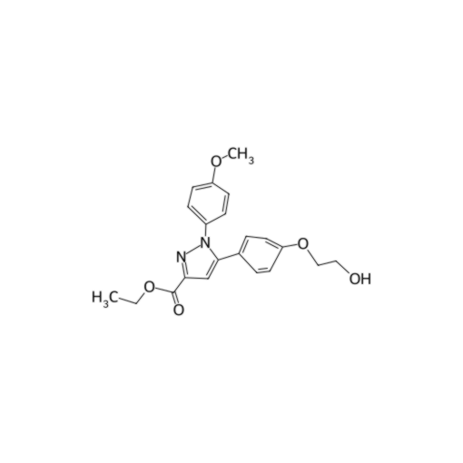 CCOC(=O)c1cc(-c2ccc(OCCO)cc2)n(-c2ccc(OC)cc2)n1